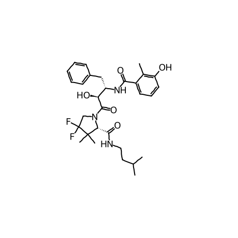 Cc1c(O)cccc1C(=O)N[C@@H](Cc1ccccc1)[C@H](O)C(=O)N1CC(F)(F)C(C)(C)[C@H]1C(=O)NCCC(C)C